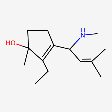 CCC1=C(C(C=C(C)C)NC)CCC1(C)O